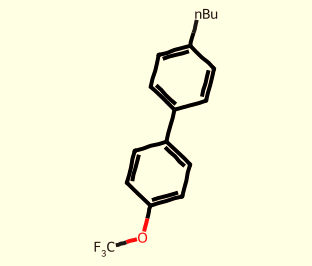 CCCCc1ccc(-c2ccc(OC(F)(F)F)cc2)cc1